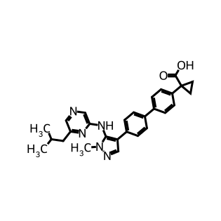 CC(C)Cc1cncc(Nc2c(-c3ccc(-c4ccc(C5(C(=O)O)CC5)cc4)cc3)cnn2C)n1